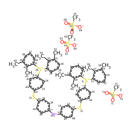 Cc1cccc([S+](c2ccc(Sc3ccc([I+]c4ccc(Sc5ccc([S+](c6cccc(C)c6C)c6cccc(C)c6C)cc5)cc4)cc3)cc2)c2cccc(C)c2C)c1C.O=S(=O)([O-])C(F)(F)F.O=S(=O)([O-])C(F)(F)F.O=S(=O)([O-])C(F)(F)F